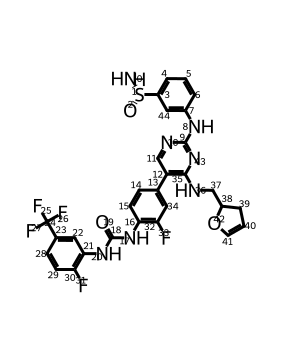 N=[SH](=O)c1cccc(Nc2ncc(-c3ccc(NC(=O)Nc4cc(C(F)(F)F)ccc4F)c(F)c3)c(NCC3CC=CO3)n2)c1